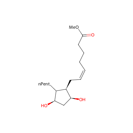 CCCCCC1[C@H](O)C[C@H](O)[C@@H]1C/C=C\CCCC(=O)OC